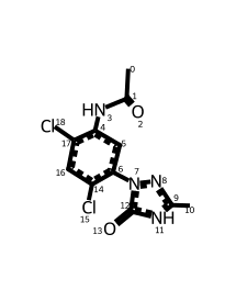 CC(=O)Nc1cc(-n2nc(C)[nH]c2=O)c(Cl)cc1Cl